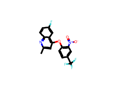 Cc1cc(Oc2ccc(C(F)(F)F)cc2[N+](=O)[O-])c2cc(F)ccc2n1